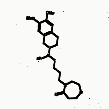 CCCN(CCCCN1CCOCCC1=O)C1CCc2cc(OC)c(OC)cc2C1